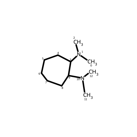 CN(C)C1CCCCCC1N(C)C